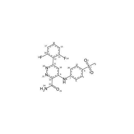 CS(=O)(=O)c1ccc(Nc2cc(-c3c(F)cccc3F)nnc2C(N)=O)cc1